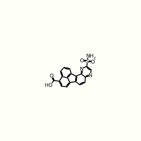 NS(=O)(=O)c1cnc2ccc3c(c2n1)-c1cccc2c(C(=O)O)ccc-3c12